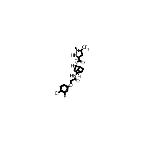 CN1NC(C(=O)N[C@@H]2C[C@H](NC(=O)COc3ccc(Cl)c(F)c3)C3CC2C3)CC1C(F)(F)F